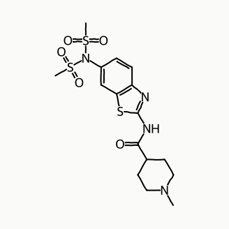 CN1CCC(C(=O)Nc2nc3ccc(N(S(C)(=O)=O)S(C)(=O)=O)cc3s2)CC1